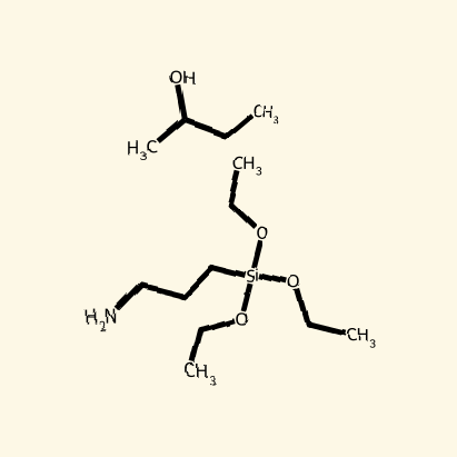 CCC(C)O.CCO[Si](CCCN)(OCC)OCC